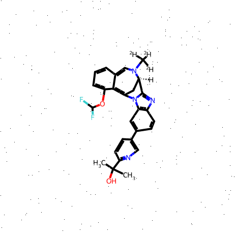 [2H]C([2H])([2H])N1C=c2cccc(OC(F)F)c2=C2C[C@@H]1c1nc3ccc(-c4ccc(C(C)(C)O)nc4)cc3n12